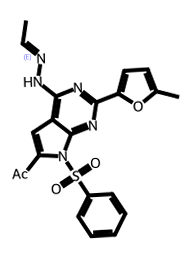 C/C=N/Nc1nc(-c2ccc(C)o2)nc2c1cc(C(C)=O)n2S(=O)(=O)c1ccccc1